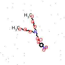 COCCOCCOCCN(CCCOC(=O)Oc1ccc([N+](=O)[O-])cc1)CCOCCOCCOC